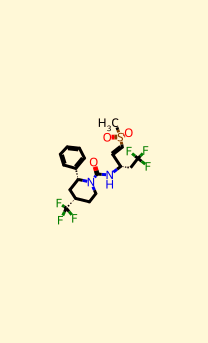 CS(=O)(=O)/C=C/[C@H](CC(F)(F)F)NC(=O)N1CC[C@H](C(F)(F)F)C[C@@H]1c1ccccc1